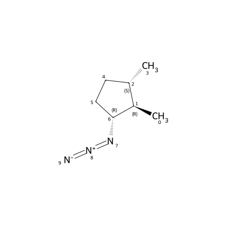 C[C@@H]1[C@@H](C)CC[C@H]1N=[N+]=[N-]